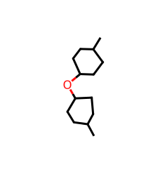 CC1CCC(OC2CCC(C)CC2)CC1